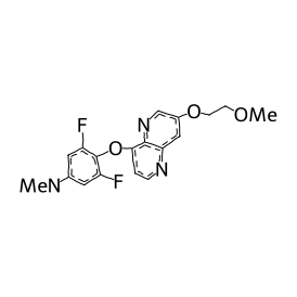 CNc1cc(F)c(Oc2ccnc3cc(OCCOC)cnc23)c(F)c1